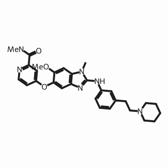 CNC(=O)c1cc(Oc2cc3nc(Nc4cccc(CCN5CCCCC5)c4)n(C)c3cc2OC)ccn1